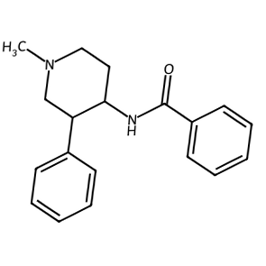 CN1CCC(NC(=O)c2ccccc2)C(c2ccccc2)C1